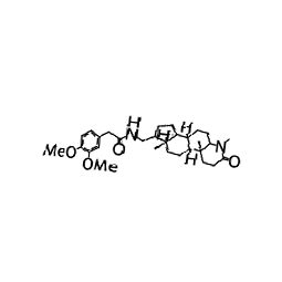 COc1ccc(CC(=O)NCC2CC[C@H]3[C@@H]4CCC5N(C)C(=O)CC[C@]5(C)[C@@H]4CC[C@]23C)cc1OC